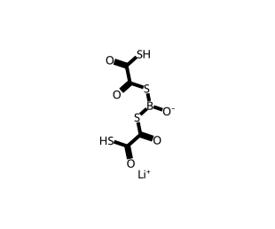 O=C(S)C(=O)SB([O-])SC(=O)C(=O)S.[Li+]